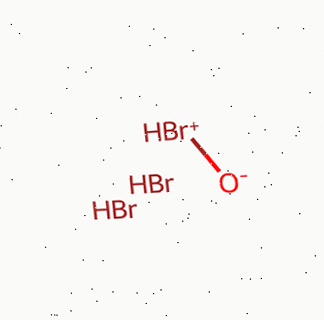 Br.Br.[O-][BrH+]